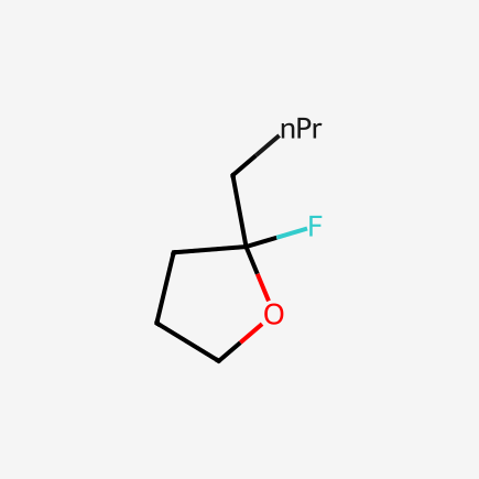 CCCCC1(F)CCCO1